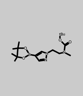 CN(CCn1cc(B2OC(C)(C)C(C)(C)O2)cn1)C(=O)OC(C)(C)C